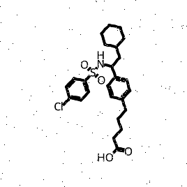 O=C(O)CCCCc1ccc(C(CC2CCCCC2)NS(=O)(=O)c2ccc(Cl)cc2)cc1